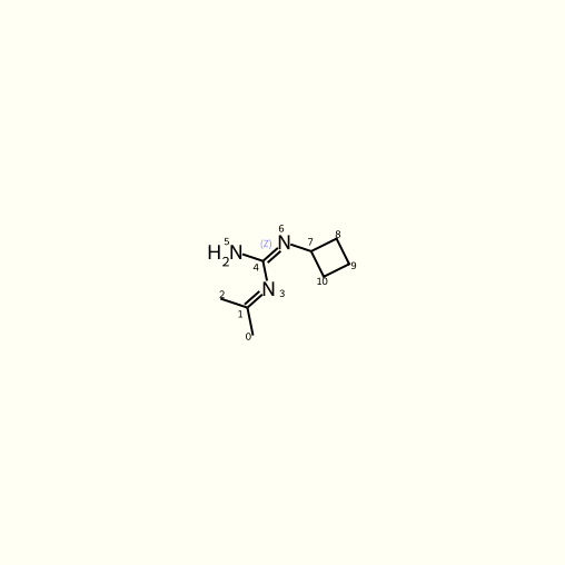 CC(C)=N/C(N)=N\C1CCC1